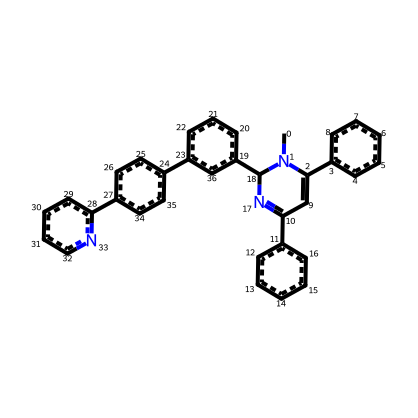 CN1C(c2ccccc2)=CC(c2ccccc2)=NC1c1cccc(-c2ccc(-c3ccccn3)cc2)c1